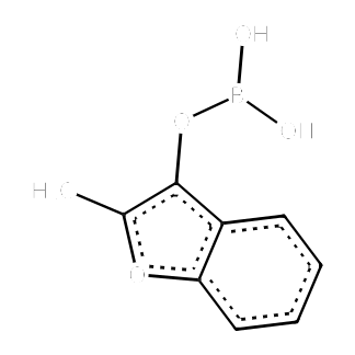 Cc1oc2ccccc2c1OB(O)O